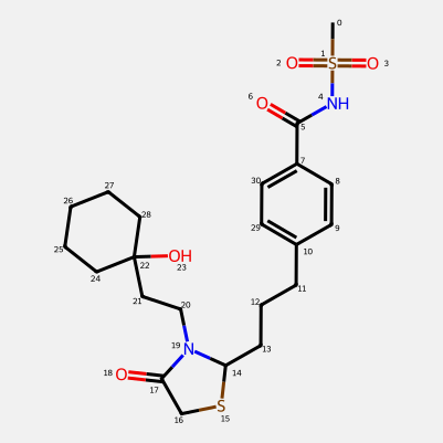 CS(=O)(=O)NC(=O)c1ccc(CCCC2SCC(=O)N2CCC2(O)CCCCC2)cc1